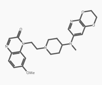 COc1ccc2ncc(=O)n(CCN3CCC(N(C)c4cnc5c(c4)OCCO5)CC3)c2c1